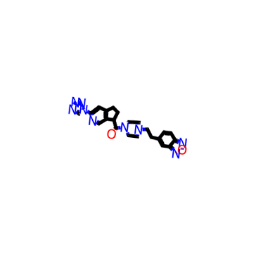 O=C(C1CCc2cc(-n3cnnn3)ncc21)N1CCN(CCc2ccc3nonc3c2)CC1